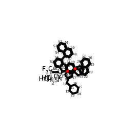 Cl.Cl.[CH3][Zr](=[SiH2])([CH2]CC(F)(F)F)([CH]1C(CC2CCCCC2)=Cc2c(-c3cccc4ccccc34)cccc21)[CH]1C(CC2CCCCC2)=Cc2c(-c3cccc4ccccc34)cccc21